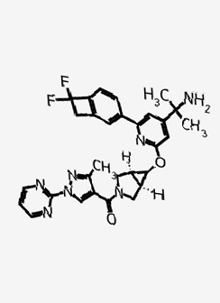 Cc1nn(-c2ncccn2)cc1C(=O)N1C[C@@H]2[C@H](C1)[C@@H]2Oc1cc(C(C)(C)N)cc(-c2ccc3c(c2)CC3(F)F)n1